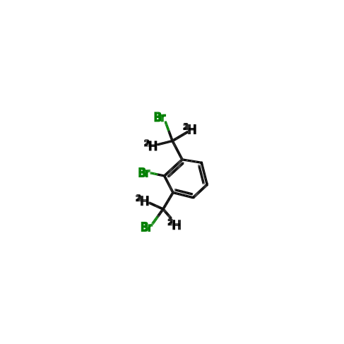 [2H]C([2H])(Br)c1cccc(C([2H])([2H])Br)c1Br